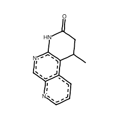 CC1CC(=O)Nc2ncc3ncccc3c21